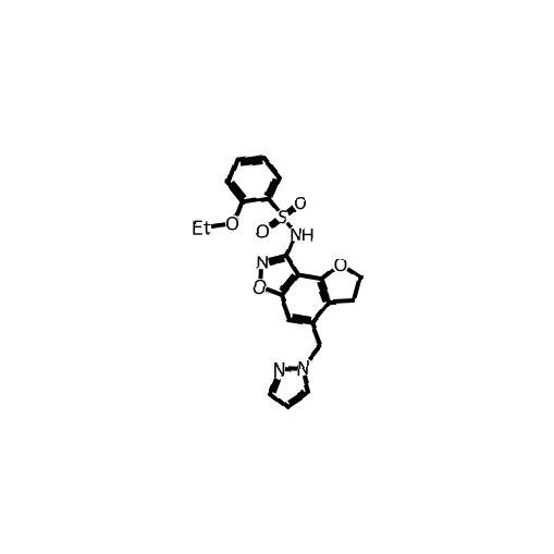 CCOc1ccccc1S(=O)(=O)Nc1noc2cc(Cn3cccn3)c3c(c12)OCC3